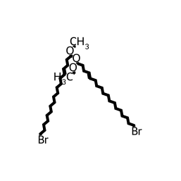 CCOC(CCC=CCCCCCCCCCCCCCBr)OC(CCC=CCCCCCCCCCCCCCBr)OCC